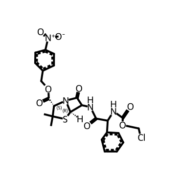 CC1(C)S[C@@H]2C(NC(=O)C(NC(=O)OCCl)c3ccccc3)C(=O)N2[C@H]1C(=O)OCc1ccc([N+](=O)[O-])cc1